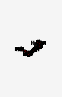 CC(=O)CC[C@H](NC(=O)CCC(NC(=O)COCCOCCNC(=O)COCCOCCNC(=O)CC[C@H](NC(=O)CCCCCCCCCCC(=O)O)C(=O)O)C(=O)O)C(=O)O